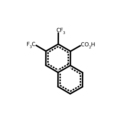 O=C(O)c1c(C(F)(F)F)c(C(F)(F)F)cc2ccccc12